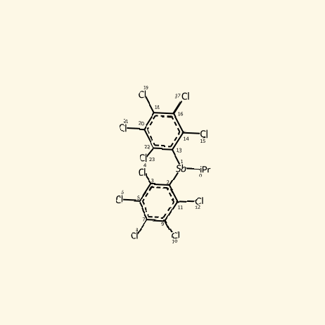 C[CH](C)[Sb]([c]1c(Cl)c(Cl)c(Cl)c(Cl)c1Cl)[c]1c(Cl)c(Cl)c(Cl)c(Cl)c1Cl